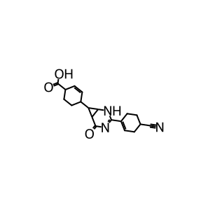 N#CC1CC=C(C2=NC(=O)C3C(N2)C3C2C=CC(C(=O)O)CC2)CC1